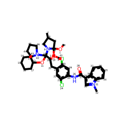 COC1(OC)CC(C)CN1C(OC1CCCCC1)(C(=O)Cc1cc(Cl)c(NC(=O)c2cn(C)c3ccccc23)cc1Cl)N1CCCC1